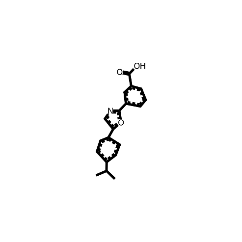 CC(C)c1ccc(-c2cnc(-c3cccc(C(=O)O)c3)o2)cc1